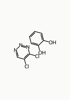 Clc1cnnnc1Cl.Oc1ccccc1O